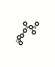 CN(c1ccccc1)c1ccc(N(c2ccccc2)c2ccc(-c3ccc4c(ccc5oc6ccccc6c54)c3)cc2)cc1-c1ccccc1